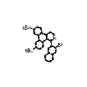 CC(C)(C)c1ccc2c(c1)c1cc(C(C)(C)C)ccc1c1c(-c3cc4ccccc4cc3Br)nccc21